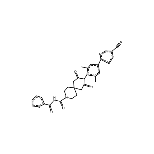 Cc1cc(-c2ccc(C#N)cn2)cc(C)c1C1C(=O)CC2(CCN(C(=O)NC(=O)c3ccccn3)CC2)CC1=O